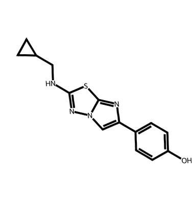 Oc1ccc(-c2cn3nc(NCC4CC4)sc3n2)cc1